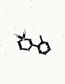 Cc1ccccc1C1=CS(=O)(=O)C=CC1